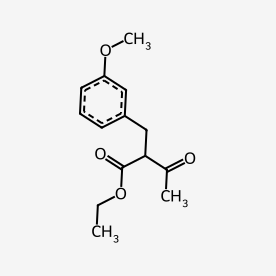 CCOC(=O)C(Cc1cccc(OC)c1)C(C)=O